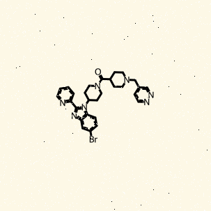 O=C(C1CCN(Cc2ccnnc2)CC1)N1CCC(n2c(-c3ccccn3)nc3cc(Br)ccc32)CC1